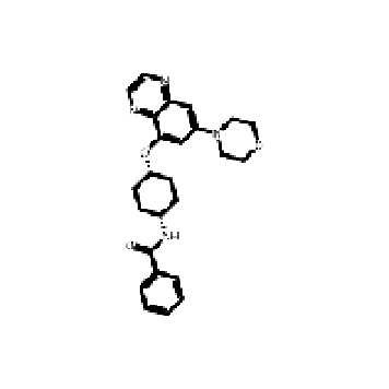 O=C(N[C@H]1CC[C@@H](Oc2cc(N3CCOCC3)cc3nccnc23)CC1)c1ccccc1